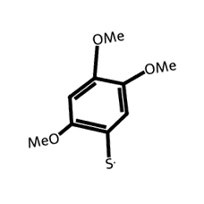 COc1cc(OC)c(OC)cc1[S]